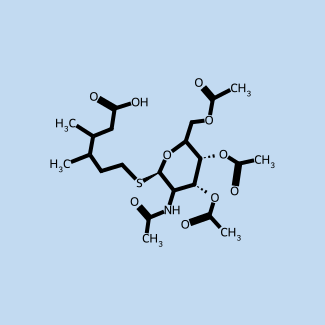 CC(=O)NC1[C@@H](SCCC(C)C(C)CC(=O)O)OC(COC(C)=O)[C@H](OC(C)=O)[C@@H]1OC(C)=O